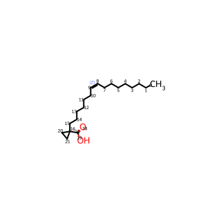 CCCCCCCC/C=C\CCCCCCC1(C(=O)O)CC1